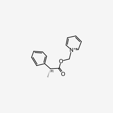 C[C@@H](C(=O)OC[n+]1ccccc1)c1ccccc1